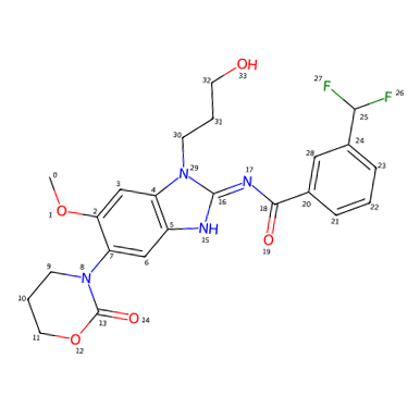 COc1cc2c(cc1N1CCCOC1=O)[nH]/c(=N\C(=O)c1cccc(C(F)F)c1)n2CCCO